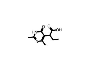 CCC(C(=O)O)c1c(C)nc(C)[nH]c1=O